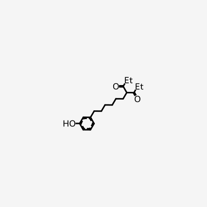 CCC(=O)C(CCCCCCc1cccc(O)c1)C(=O)CC